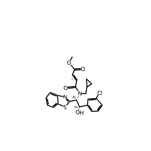 COC(=O)/C=C/C(=O)N(CC1CC1)[C@@H](c1nc2ccccc2s1)[C@@H](O)c1cccc(Cl)c1